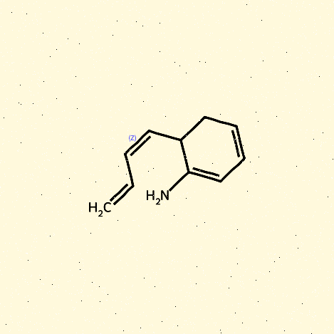 C=C/C=C\C1CC=CC=C1N